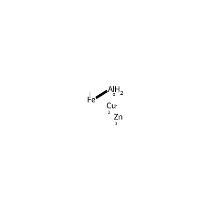 [AlH2][Fe].[Cu].[Zn]